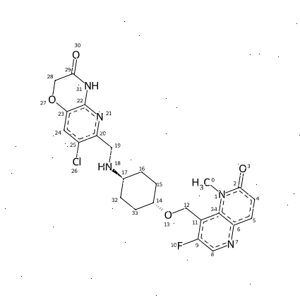 Cn1c(=O)ccc2ncc(F)c(CO[C@H]3CC[C@H](NCc4nc5c(cc4Cl)OCC(=O)N5)CC3)c21